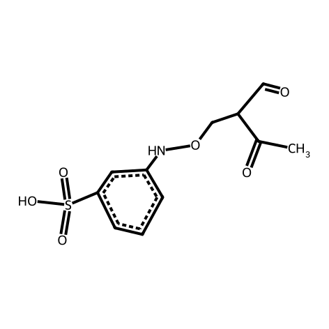 CC(=O)C(C=O)CONc1cccc(S(=O)(=O)O)c1